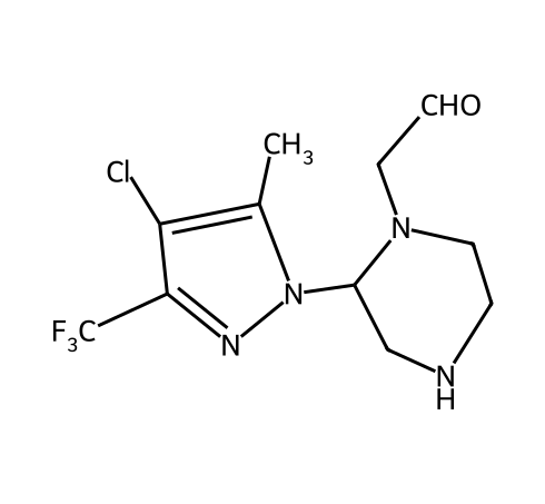 Cc1c(Cl)c(C(F)(F)F)nn1C1CNCCN1CC=O